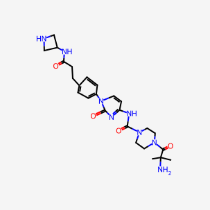 CC(C)(N)C(=O)N1CCN(C(=O)Nc2ccn(-c3ccc(CCC(=O)NC4CNC4)cc3)c(=O)n2)CC1